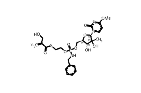 C=C(CO)C(=O)SCCOP(=O)(NCc1ccccc1)OC[C@H]1O[C@@H](n2ccc(OC)nc2=O)[C@](C)(O)[C@@H]1O